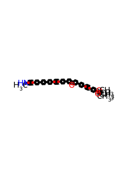 CNC12CCC(c3ccc(-c4ccc(-c5ccc(C67CCC(c8ccc(-c9ccc%10c(c9)oc9cc(-c%11ccc(C%12%13CCC(c%14ccc(B%15OC(C)(C)C(C)(C)O%15)cc%14)(CC%12)CC%13)cc%11)ccc9%10)cc8)(CC6)CC7)cc5)cc4)cc3)(CC1)CC2